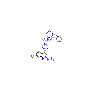 Nc1cc(N2CCN(C(=O)N[C@H]3CCCCN(Cc4ccccc4)C3=O)CC2)c2ccc(Cl)cc2n1